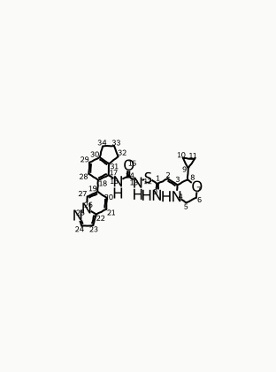 N=C(/C=C1\NCCOC1C1CC1)SNC(=O)Nc1c(-c2ccc3ccnn3c2)ccc2c1CCC2